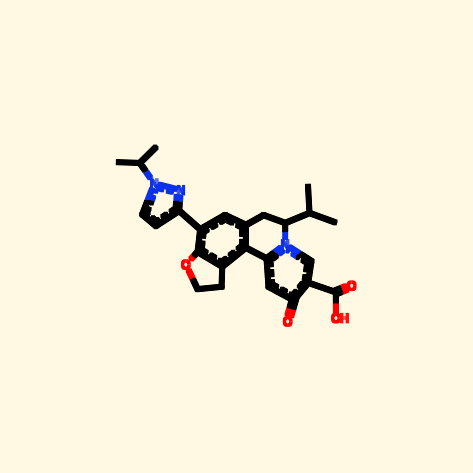 CC(C)C1Cc2cc(-c3ccn(C(C)C)n3)c3c(c2-c2cc(=O)c(C(=O)O)cn21)CCO3